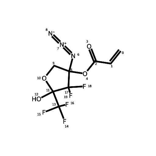 C=CC(=O)OC1(N=[N+]=[N-])COC(O)(C(F)(F)F)C1(F)F